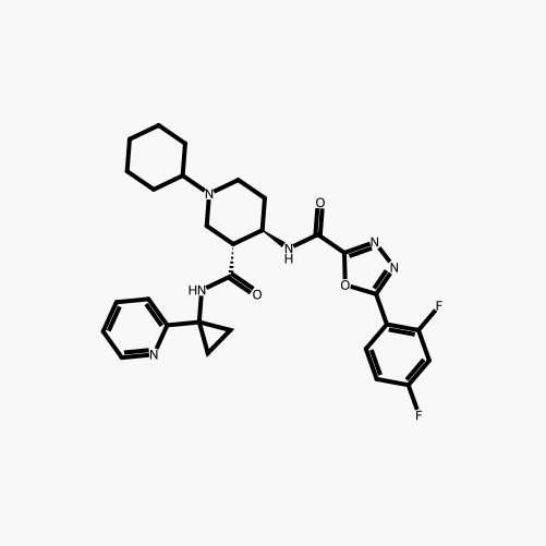 O=C(N[C@@H]1CCN(C2CCCCC2)C[C@H]1C(=O)NC1(c2ccccn2)CC1)c1nnc(-c2ccc(F)cc2F)o1